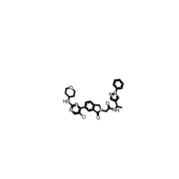 CC(NC(=O)CN1Cc2ccc(-c3nc(NC4CCOCC4)ncc3Cl)cc2C1=O)c1cnn(-c2ccccc2)c1